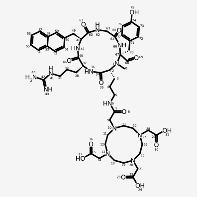 CN1[C@H](CCCNC(=O)CN2CCN(CC(=O)O)CCN(CC(=O)O)CCN(CC(=O)O)CC2)C(=O)N[C@@H](CCCNC(=N)N)C(=O)N[C@@H](Cc2ccc3ccccc3c2)C(=O)NCC(=O)N[C@]1(C=O)Cc1ccc(O)cc1